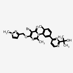 Cc1nc(OCc2ccn(C)n2)c(Br)c(=O)n1-c1cc(-c2ccnc(C(C)(C)O)n2)ccc1Cl